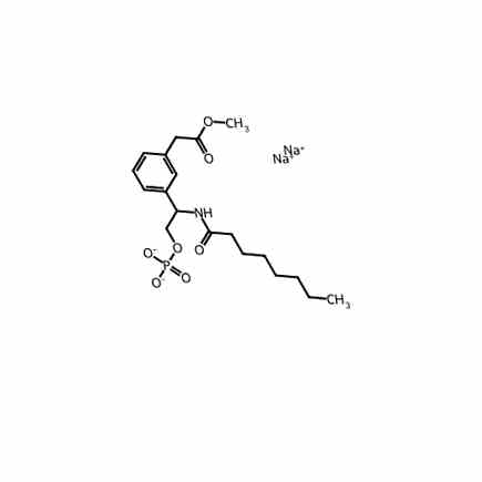 CCCCCCCC(=O)NC(COP(=O)([O-])[O-])c1cccc(CC(=O)OC)c1.[Na+].[Na+]